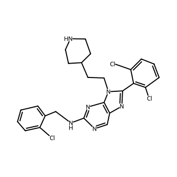 Clc1ccccc1CNc1ncc2nc(-c3c(Cl)cccc3Cl)n(CCC3CCNCC3)c2n1